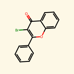 O=c1c(Br)c(-c2ccccc2)oc2ccccc12